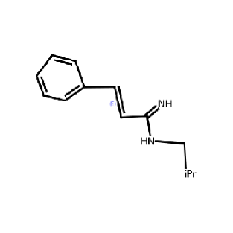 CC(C)CNC(=N)/C=C/c1ccccc1